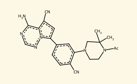 CC(=O)N1CCN(c2cc(-c3cc(C#N)c4c(N)ncnn34)ccc2C#N)CC1(C)C